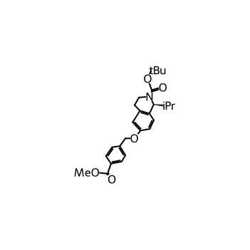 COC(=O)c1ccc(COc2ccc3c(c2)CCN(C(=O)OC(C)(C)C)[C@H]3C(C)C)cc1